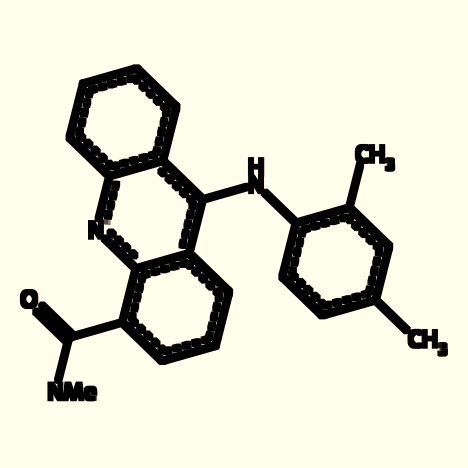 CNC(=O)c1cccc2c(Nc3ccc(C)cc3C)c3ccccc3nc12